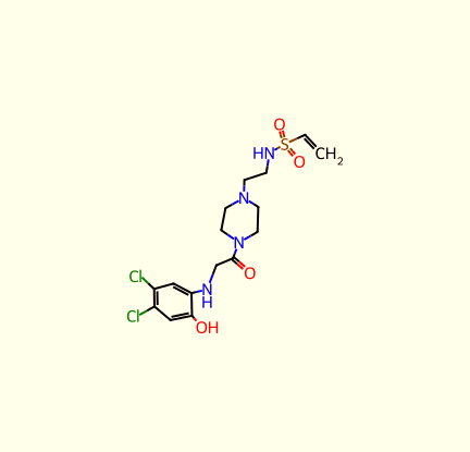 C=CS(=O)(=O)NCCN1CCN(C(=O)CNc2cc(Cl)c(Cl)cc2O)CC1